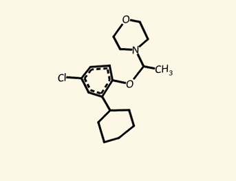 CC(Oc1ccc(Cl)cc1C1CCCCC1)N1CCOCC1